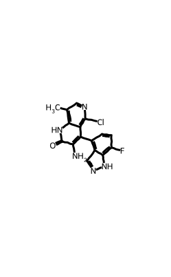 Cc1cnc(Cl)c2c(-c3ccc(F)c4[nH]ncc34)c(N)c(=O)[nH]c12